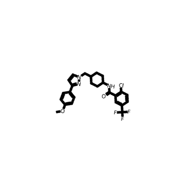 COc1ccc(-c2ccn(CC3CCC(NC(=O)c4cc(C(F)(F)F)ccc4Cl)CC3)n2)cc1